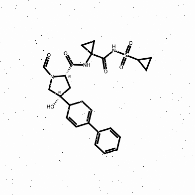 O=CN1C[C@](O)(C2C=CC(c3ccccc3)=CC2)C[C@H]1C(=O)NC1(C(=O)NS(=O)(=O)C2CC2)CC1